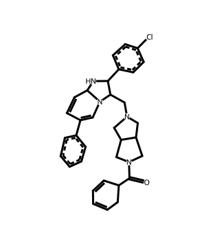 O=C(C1C=CC=CC1)N1CC2CN(CC3C(c4ccc(Cl)cc4)NC4C=CC(c5ccccc5)=CN43)CC2C1